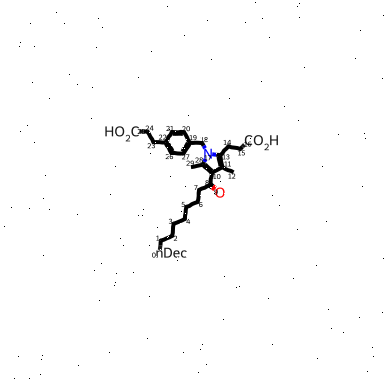 CCCCCCCCCCCCCCCCCC(=O)c1c(C)c(CCC(=O)O)n(Cc2ccc(CCC(=O)O)cc2)c1C